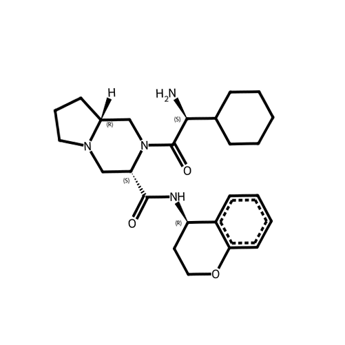 N[C@H](C(=O)N1C[C@H]2CCCN2C[C@H]1C(=O)N[C@@H]1CCOc2ccccc21)C1CCCCC1